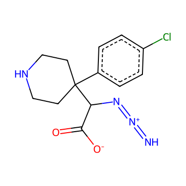 N=[N+]=NC(C(=O)[O-])C1(c2ccc(Cl)cc2)CCNCC1